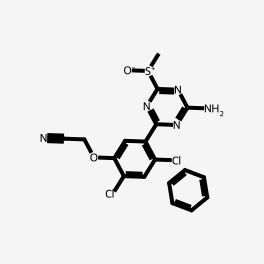 C[S+]([O-])c1nc(N)nc(-c2cc(OCC#N)c(Cl)cc2Cl)n1.c1ccccc1